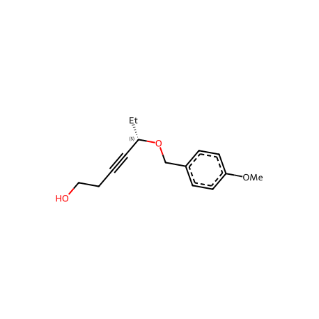 CC[C@@H](C#CCCO)OCc1ccc(OC)cc1